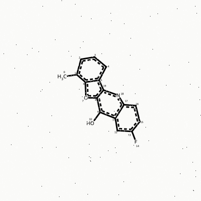 Cc1cccc2c1oc1c(O)c3cc(F)ccc3nc12